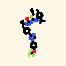 C#CCS/C(=N\C(=O)NC1(Cc2ccc(-c3ncn(-c4ccc(OC(F)(F)F)cc4)n3)cc2)CC1)Nc1cc(C)ccc1C(C)C